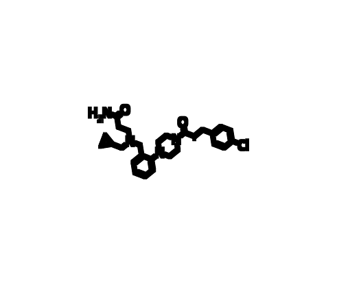 NC(=O)CCN(Cc1ccccc1N1CCN(C(=O)[CH]Cc2ccc(Cl)cc2)CC1)CC1CC1